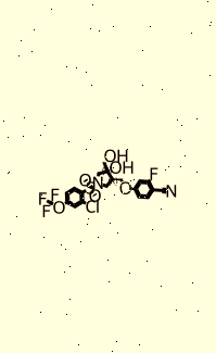 N#Cc1ccc(OC[C@H]2CN(S(=O)(=O)c3ccc(OC(F)(F)F)cc3Cl)C[C@@]2(O)CO)cc1F